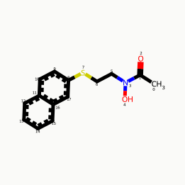 CC(=O)N(O)CCSc1ccc2ccccc2c1